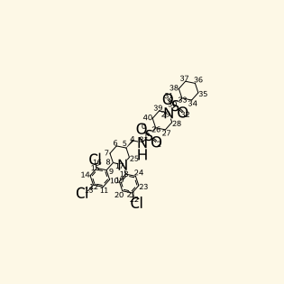 O=S(=O)(NC[C@@H]1CCC(c2ccc(Cl)cc2Cl)N(c2ccc(Cl)cc2)C1)C1CCN(S(=O)(=O)C2CCCCC2)CC1